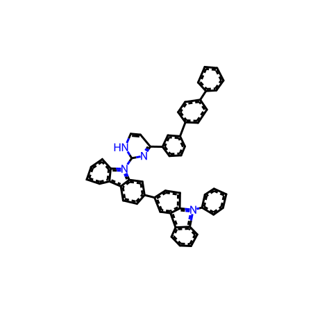 C1=CC(c2cccc(-c3ccc(-c4ccccc4)cc3)c2)=NC(n2c3ccccc3c3ccc(-c4ccc5c(c4)c4ccccc4n5-c4ccccc4)cc32)N1